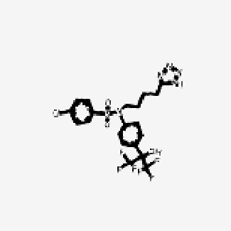 O=S(=O)(c1ccc(Cl)cc1)N(CCCCc1nnn[nH]1)c1ccc(C(O)(C(F)(F)F)C(F)(F)F)cc1